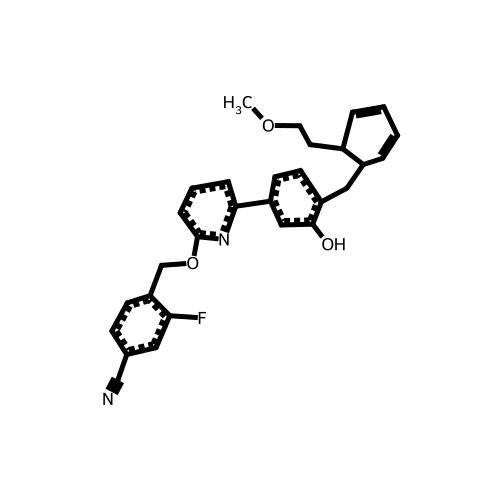 COCCC1C=CC=CC1Cc1ccc(-c2cccc(OCc3ccc(C#N)cc3F)n2)cc1O